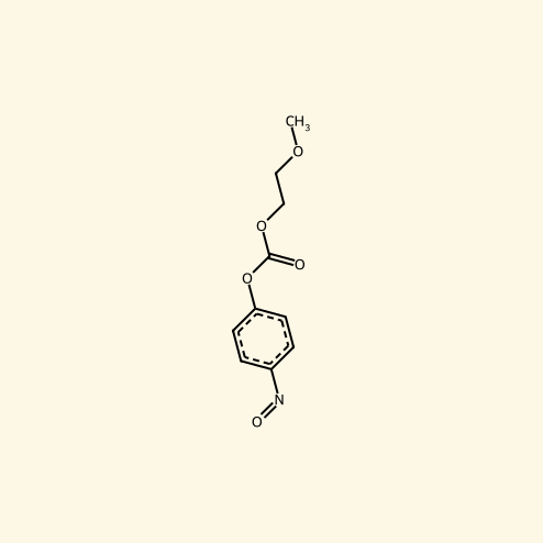 COCCOC(=O)Oc1ccc(N=O)cc1